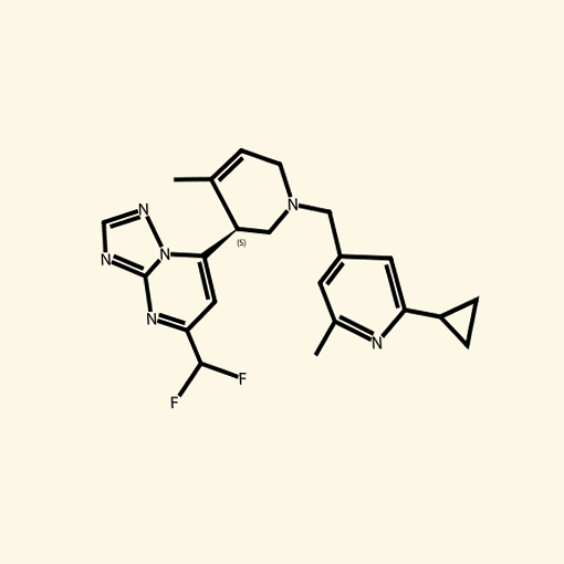 CC1=CCN(Cc2cc(C)nc(C3CC3)c2)C[C@H]1c1cc(C(F)F)nc2ncnn12